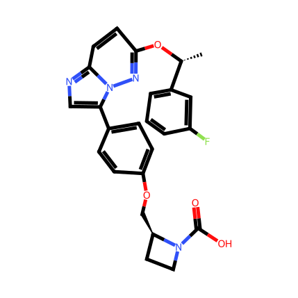 C[C@@H](Oc1ccc2ncc(-c3ccc(OC[C@@H]4CCN4C(=O)O)cc3)n2n1)c1cccc(F)c1